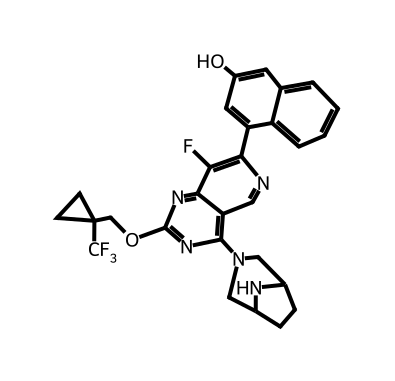 Oc1cc(-c2ncc3c(N4CC5CCC(C4)N5)nc(OCC4(C(F)(F)F)CC4)nc3c2F)c2ccccc2c1